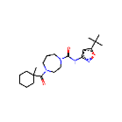 CC1(C(=O)N2CCCN(C(=O)Nc3cc(C(C)(C)C)on3)CC2)CCCCC1